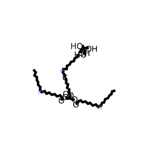 CCCCCCCC/C=C\CCCCCCCC(=O)OCC(COC(=O)CCCCCCC/C=C\CCCCCCCC)OC(=O)CCCCCCC/C=C\CCCCCCCC.OCC(CO)(CO)CO